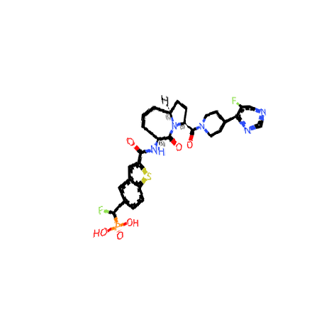 O=C(N[C@H]1CCC[C@H]2CC[C@@H](C(=O)N3CCC(c4ncncc4F)CC3)N2C1=O)c1cc2cc(C(F)P(=O)(O)O)ccc2s1